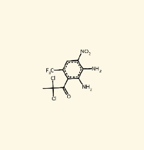 CC(Cl)(Cl)C(=O)c1c(C(F)(F)F)cc([N+](=O)[O-])c(N)c1N